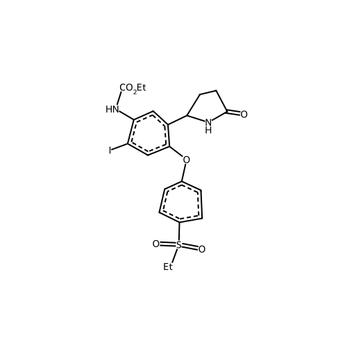 CCOC(=O)Nc1cc(C2CCC(=O)N2)c(Oc2ccc(S(=O)(=O)CC)cc2)cc1I